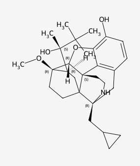 CO[C@]12CCC3(C[C@@H]1[C@](C)(O)C(C)(C)C)[C@@]1(CC4CC4)Cc4ccc(O)c5c4[C@@]3(CCN1)[C@H]2O5